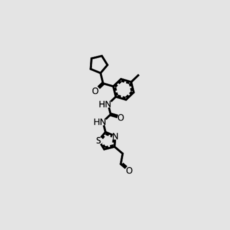 Cc1ccc(NC(=O)Nc2nc(CC=O)cs2)c(C(=O)C2CCCC2)c1